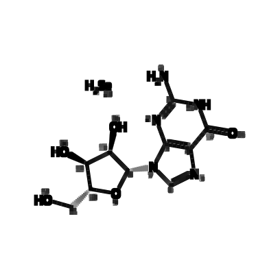 Nc1nc2c(ncn2[C@@H]2O[C@H](CO)[C@@H](O)[C@H]2O)c(=O)[nH]1.[SeH2]